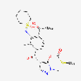 COC(=O)c1ccc(C(=O)c2cnn(C)c2OC(=O)SC(C)(C)C)c(C)c1N=S1(=O)CCCCC1